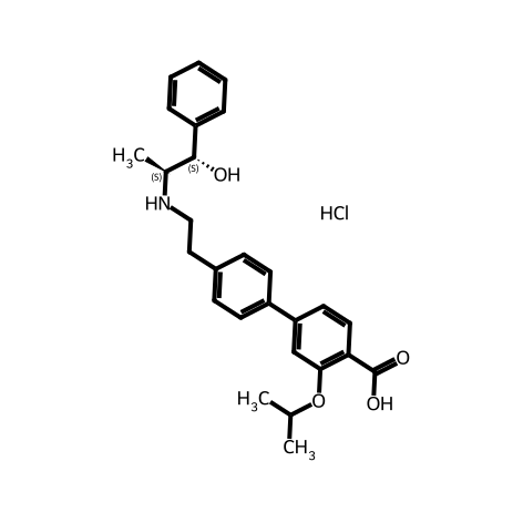 CC(C)Oc1cc(-c2ccc(CCN[C@@H](C)[C@@H](O)c3ccccc3)cc2)ccc1C(=O)O.Cl